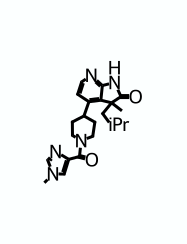 CC(C)CC1(C)C(=O)Nc2nccc(C3CCN(C(=O)c4cn(C)cn4)CC3)c21